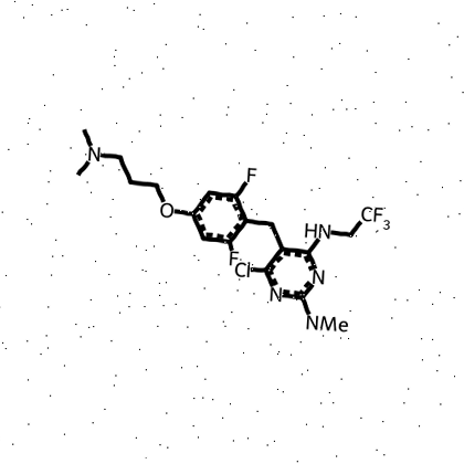 CNc1nc(Cl)c(Cc2c(F)cc(OCCCN(C)C)cc2F)c(NCC(F)(F)F)n1